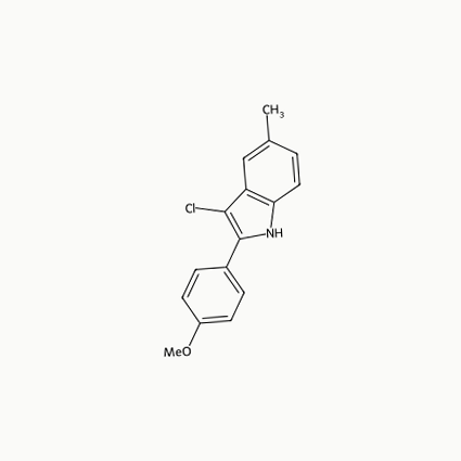 COc1ccc(-c2[nH]c3ccc(C)cc3c2Cl)cc1